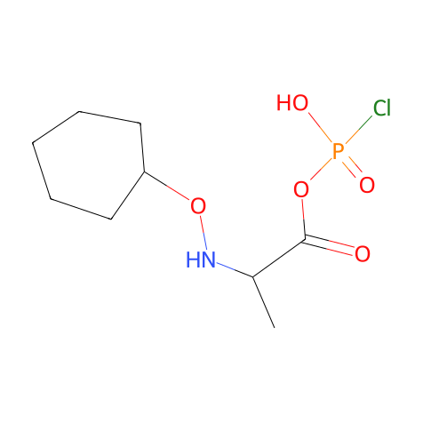 CC(NOC1CCCCC1)C(=O)OP(=O)(O)Cl